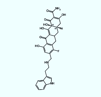 NC(=O)C1=C(O)C[C@@H]2CC3Cc4c(F)c(CNCCc5c[nH]c6ccccc56)cc(O)c4C(=O)C3=C(O)[C@]2(O)C1=O